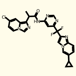 CC(C(=O)Nc1cc(C(F)(F)c2cn3cc(C4CC4)ccc3n2)ncn1)c1ncn2ccc(Cl)cc12